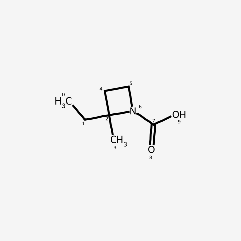 CCC1(C)CCN1C(=O)O